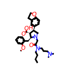 CCCCN(CCCN(C)C)C(=O)CN1C[C@H](c2ccc3c(c2)CCO3)[C@@H](C(=O)O)[C@@H]1Cc1ccccc1OC